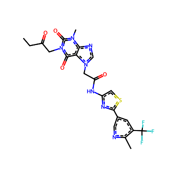 CCC(=O)Cn1c(=O)c2c(ncn2CC(=O)Nc2csc(-c3cnc(C)c(C(F)(F)F)c3)n2)n(C)c1=O